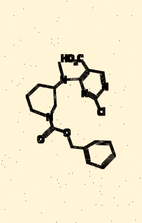 CN(c1nc(Cl)ncc1C(=O)O)C1CCCN(C(=O)OCc2ccccc2)C1